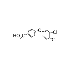 O=C(O)c1ccc(Oc2ccc(Cl)c(Cl)c2)cc1